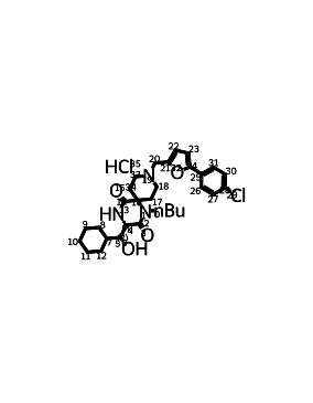 CCCCN1C(=O)[C@@H]([C@H](O)C2CCCCC2)NC(=O)C12CCN(Cc1ccc(-c3ccc(Cl)cc3)o1)CC2.Cl